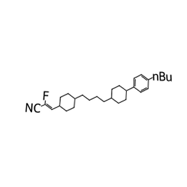 CCCCc1ccc(C2CCC(CCCCC3CCC(C=C(F)C#N)CC3)CC2)cc1